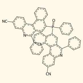 N#Cc1ccc2c(c1)nc(-c1ccccc1)c1cc(P(=O)(c3ccccc3)c3cc4c(-c5ccccc5)nc5cc(C#N)ccc5c4c4ccccc34)c3ccccc3c12